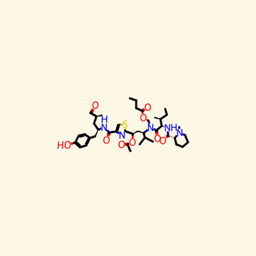 CCCC(=O)OCN(C(=O)[C@@H](NC(=O)[C@H]1CCCCN1C)[C@@H](C)CC)[C@H](C[C@@H](OC(C)=O)c1nc(C(=O)N[C@@H](Cc2ccc(O)cc2)C[C@H](C)C=O)cs1)C(C)C